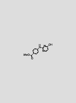 COC(=O)c1ccc(Nc2nccc(O)n2)cc1